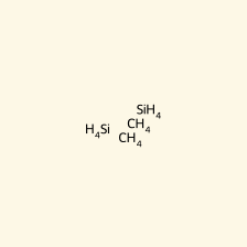 C.C.[SiH4].[SiH4]